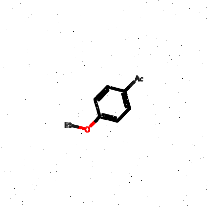 CCOc1ccc(C(C)=O)cc1